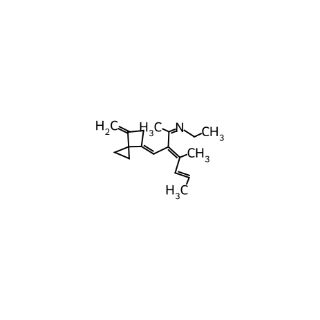 C=C1C\C(=C/C(C(/C)=N\CC)=C(C)\C=C\C)C12CC2